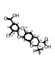 O=C(O)c1ccc(Oc2cc3c(cc2Cl)C[C@@H](C(=O)O)[C@@H](C(F)(F)F)O3)c(Cl)c1